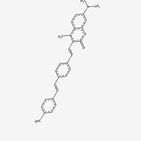 Cc1c(/C=C/c2ccc(/C=C/c3ccc(C=O)cc3)cc2)c(=O)oc2cc(N(C)C)ccc12